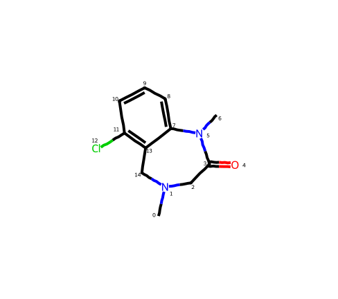 CN1CC(=O)N(C)c2cccc(Cl)c2C1